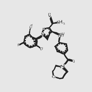 NC(=O)c1nn(-c2c(Cl)cc(F)cc2Cl)cc1Nc1ccc(C(=O)N2CCOCC2)cc1